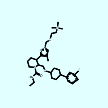 CCNC(=O)N1CCCC(c2nn(COCC[Si](C)(C)C)cc2C)C1COC1CCC(c2cccc(F)c2)CC1